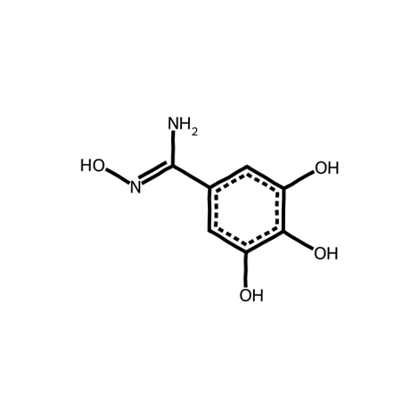 N/C(=N\O)c1cc(O)c(O)c(O)c1